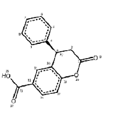 O=C1C[C@H](c2ccccc2)c2cc(C(=O)O)ccc2O1